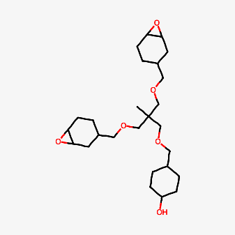 CC(COCC1CCC(O)CC1)(COCC1CCC2OC2C1)COCC1CCC2OC2C1